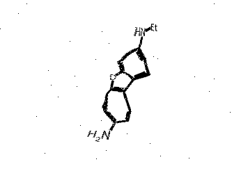 CCNc1ccc2c(c1)oc1cc(N)ccc12